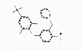 O=[N+]([O-])c1ccc(Oc2c(Cl)cc(C(F)(F)F)cc2Cl)cc1Cn1cccn1